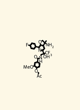 COc1cc(C(=O)NCC(O)(c2cc3c(c(-c4ccc(F)cc4)n2)OCC3(C)N)C(F)(F)F)ccc1OCC(C)=O